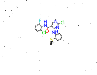 CC(C)Sc1ccccc1Nc1nc(Cl)ncc1C(=O)Nc1c(F)cccc1Cl